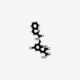 O=C(NCc1cc(Cl)cc2cc(C(=O)O)c(=O)[nH]c12)c1ccc2ccccc2n1